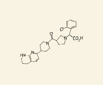 O=C(O)C(c1ccccc1Cl)N1CCC(C(=O)N2CCC(c3ccc4c(n3)NCCC4)CC2)C1